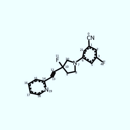 N#Cc1cc(F)cc(N2CCC(F)(C#Cc3ccccn3)C2)c1